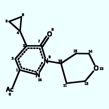 CC(=O)c1cc(C2CC2)c(=O)n(C2CCOCC2)n1